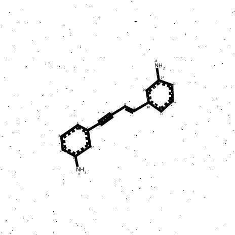 Nc1cccc(C#CC=Cc2cccc(N)c2)c1